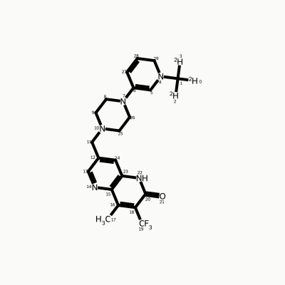 [2H]C([2H])([2H])N1C=C(N2CCN(Cc3cnc4c(C)c(C(F)(F)F)c(=O)[nH]c4c3)CC2)C=CC1